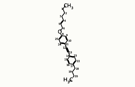 CCCCC=CCOc1ccc(C#Cc2ccc(CCCC)cc2)cc1